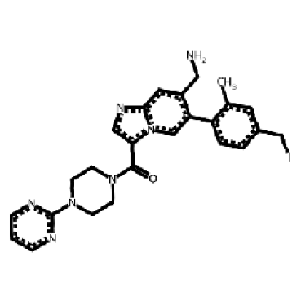 Cc1cc(CI)ccc1-c1cn2c(C(=O)N3CCN(c4ncccn4)CC3)cnc2cc1CN